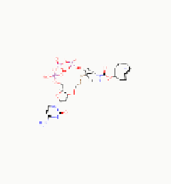 CC(C)(CNC(=O)OC1CC/C=C/CCC1)SSCOC1C[C@H](n2ccc(N)nc2=O)O[C@@H]1COP(=O)(O)OP(=O)(O)OP(=O)(O)O